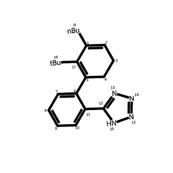 CCCCC1=CCCC(c2ccccc2-c2nnn[nH]2)=C1C(C)(C)C